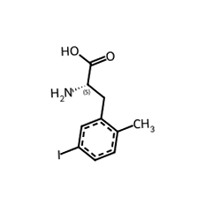 Cc1ccc(I)cc1C[C@H](N)C(=O)O